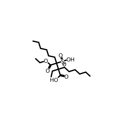 CCCCCCC(CC)(C(=O)O)C(CCCCCC)(C(=O)OCC)S(=O)(=O)O